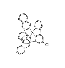 Clc1cc(/C(=C/c2ccccc2)c2ccccc2)c2c(c1)-c1ccccc1C21c2ccccc2-c2cc3ccccc3cc21